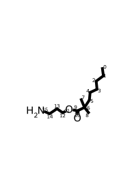 CCCCCCC(C)(C)C(=O)OCCCN